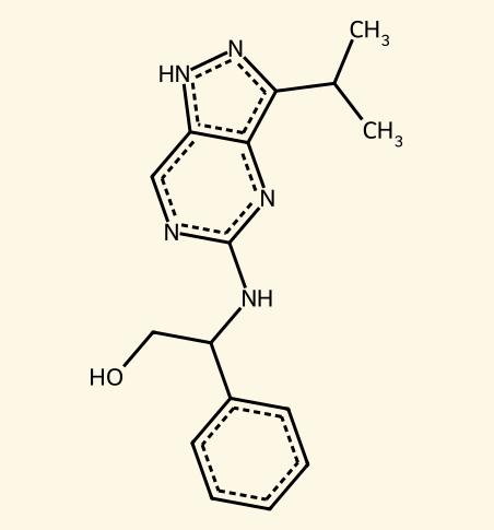 CC(C)c1n[nH]c2cnc(NC(CO)c3ccccc3)nc12